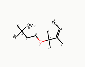 CC/C=C(/C)C(C)(C)OCCC(C)(CC)OC